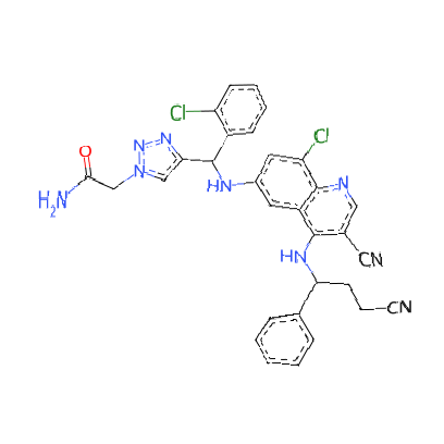 N#CCCC(Nc1c(C#N)cnc2c(Cl)cc(NC(c3cn(CC(N)=O)nn3)c3ccccc3Cl)cc12)c1ccccc1